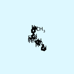 Cn1cnc2ccc(-c3cc(C(F)(F)F)c(N[C@H]4C[C@@H]5CN(Cc6ccccn6)C[C@@H]5C4)nn3)cc21